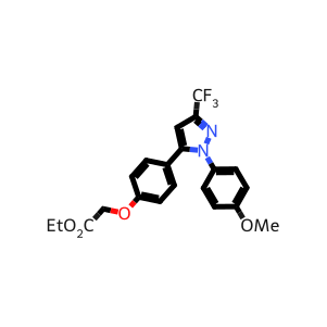 CCOC(=O)COc1ccc(-c2cc(C(F)(F)F)nn2-c2ccc(OC)cc2)cc1